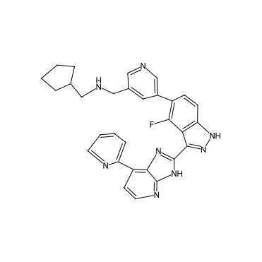 Fc1c(-c2cncc(CNCC3CCCC3)c2)ccc2[nH]nc(-c3nc4c(-c5ccccn5)ccnc4[nH]3)c12